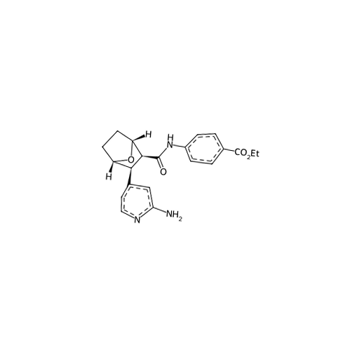 CCOC(=O)c1ccc(NC(=O)[C@H]2[C@@H](c3ccnc(N)c3)[C@@H]3CC[C@H]2O3)cc1